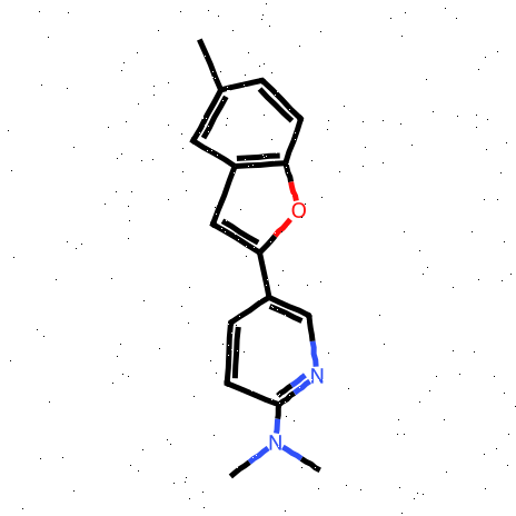 Cc1ccc2oc(-c3ccc(N(C)C)nc3)cc2c1